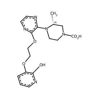 C[C@@H]1CN(C(=O)O)CCN1c1nccnc1OCCOc1cccnc1O